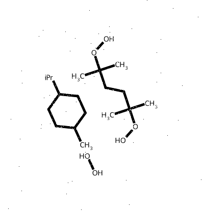 CC(C)(CCC(C)(C)OO)OO.CC1CCC(C(C)C)CC1.OO